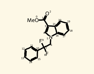 COC(=O)c1cn(CC(F)(F)c2ccccc2)c2ccccc12